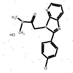 CN(C)C(=O)Cn1c(-c2ccc(Cl)cc2)nc2cccnc21.Cl